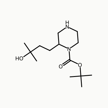 CC(C)(O)CCC1CNCCN1C(=O)OC(C)(C)C